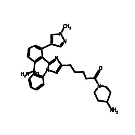 Cn1cc(-c2cccc(C(N)=O)c2-c2nc(CCCCC(=O)N3CCC(N)CC3)cn2-c2ccccc2)cn1